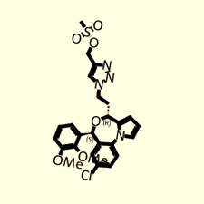 COc1cccc([C@H]2O[C@H](CCn3cc(COS(C)(=O)=O)nn3)c3cccn3-c3ccc(Cl)cc32)c1OC